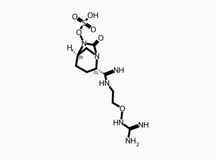 N=C(N)NOCCNC(=N)[C@@H]1CC[C@@H]2CN1C(=O)N2OS(=O)(=O)O